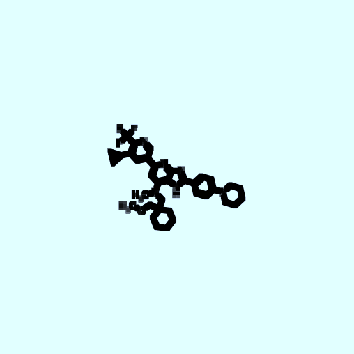 COCC1(CN(C)c2cc(-c3cnc(C(F)(F)F)c(C4CC4)c3)nc3nc(-c4ccc(N5CCCCC5)cc4)[nH]c23)CCCCC1